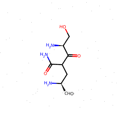 NC(=O)C(C[C@H](N)[C]=O)C(=O)[C@@H](N)CO